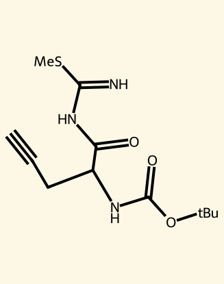 C#CCC(NC(=O)OC(C)(C)C)C(=O)NC(=N)SC